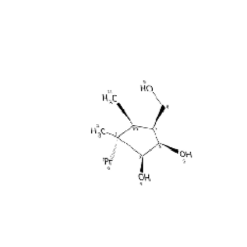 CC(C)[C@@]1(C)[C@H](O)[C@H](O)[C@H](CO)[C@@H]1C